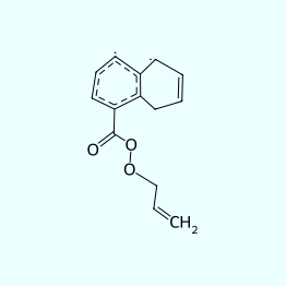 C=CCOOC(=O)c1cc[c]c2c1CC=C[CH]2